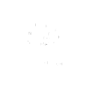 C/C=C1/C[C@](O)(C(F)(F)F)[C@H](Nc2cc(F)c(F)c3nc(C)ncc23)c2cc(Cl)c(O)cc21